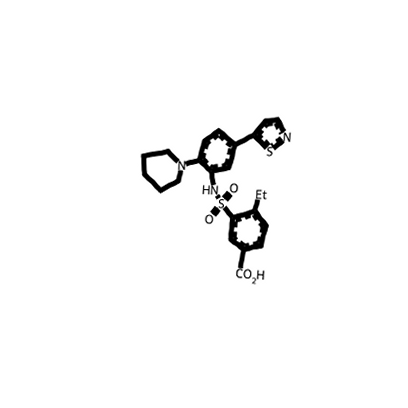 CCc1ccc(C(=O)O)cc1S(=O)(=O)Nc1cc(-c2ccns2)ccc1N1CCCCC1